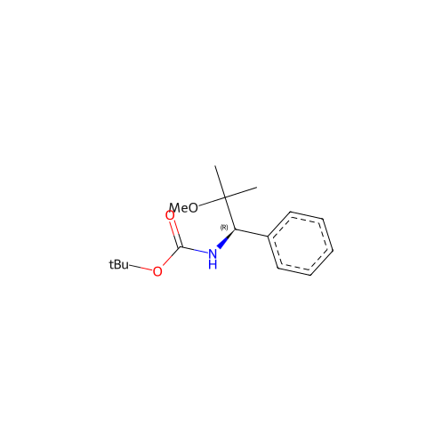 COC(C)(C)[C@H](NC(=O)OC(C)(C)C)c1ccccc1